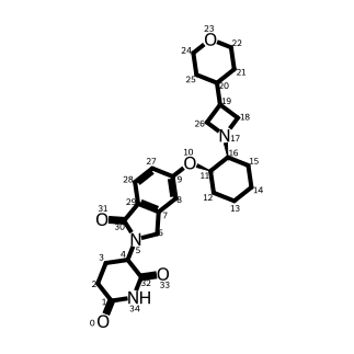 O=C1CCC(N2Cc3cc(O[C@@H]4CCCC[C@@H]4N4CC(C5CCOCC5)C4)ccc3C2=O)C(=O)N1